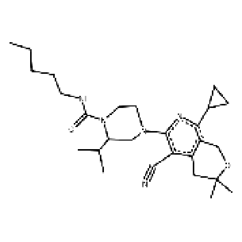 CCCCCNC(=O)N1CCN(c2nc(C3CC3)c3c(c2C#N)CC(C)(C)OC3)CC1C(C)C